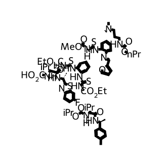 CC(C)[C@H](NC(=O)O)C(=O)N[C@H](C)c1nc2ccc(F)cc2s1.CCCOC(=O)NCCCN(C)C.CCOC(=O)NC(=S)Nc1ccccc1NC(=S)NC(=O)OCC.COC(=O)NC(=S)Nc1ccccc1N=Cc1ccco1.Cc1ccc([C@H](C)NC(=O)C(NC(=O)OC(C)C)C(C)C)cc1